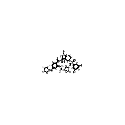 O=C(Nc1n[nH]c2c1CN(S(=O)(=O)c1cc(F)cc(F)c1)CC2)c1ccc(CN2CCCC2)cc1NC(=O)[C@@H]1CCCO1